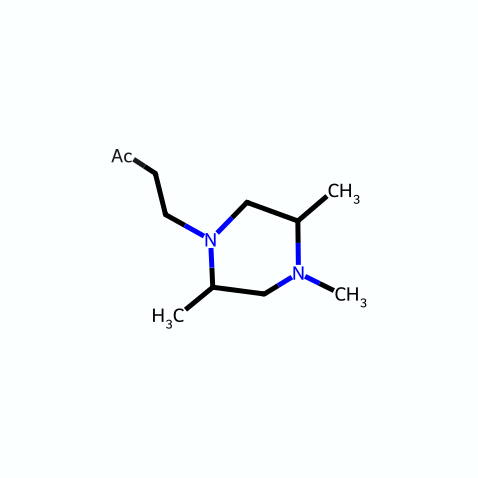 CC(=O)CCN1CC(C)N(C)CC1C